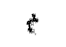 Cc1cn(-c2cc(NC(=O)c3ccc(C)c(C#Cc4cnc(N)c(Cl)n4)c3)cc(C(F)(F)F)c2)cn1